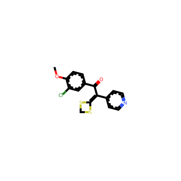 COc1ccc(C(=O)C(=C2SCS2)c2ccncc2)cc1Cl